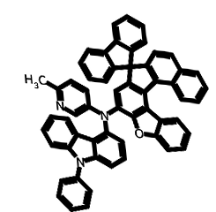 Cc1ccc(N(c2cc3c(c4c2oc2ccccc24)-c2c(ccc4ccccc24)C32c3ccccc3-c3ccccc32)c2cccc3c2c2ccccc2n3-c2ccccc2)cn1